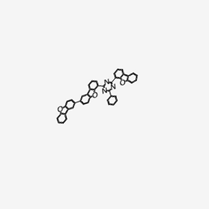 c1ccc(-c2nc(-c3cccc4c3oc3ccccc34)nc(-c3cccc4c3oc3ccc(-c5ccc6oc7ccccc7c6c5)cc34)n2)cc1